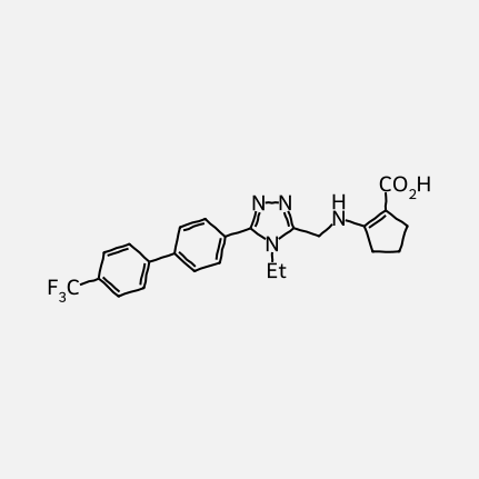 CCn1c(CNC2=C(C(=O)O)CCC2)nnc1-c1ccc(-c2ccc(C(F)(F)F)cc2)cc1